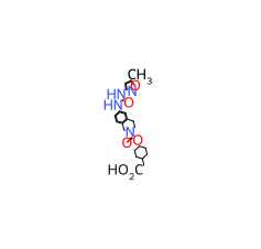 Cc1cc(NC(=O)Nc2ccc3c(c2)CCN(C(=O)OC2CCC(CC(=O)O)CC2)C3)no1